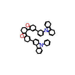 C1=CCC(N2C3=C(CCC=C3)C3C=C(C4=Cc5c(oc6c5-c5c(oc7c5C=C(C5C=CC=C(n8c9c(c%10c8C=CCC%10)CCC=C9)C5)CC7)CC6)CC4)C=CC32)C=C1